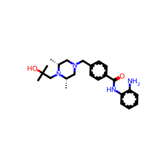 C[C@@H]1CN(Cc2ccc(C(=O)Nc3ccccc3N)cc2)C[C@H](C)N1CC(C)(C)O